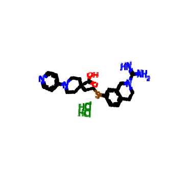 Cl.Cl.N=C(N)N1CCc2ccc(SCCC3(C(=O)O)CCN(c4ccncc4)CC3)cc2C1